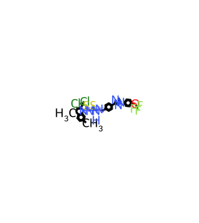 Cc1ccc2c(c1)N1C(=CC2C)C(Cl)(Cl)S/C1=N\C(=S)N/N=C/c1ccc(-c2ncn(-c3ccc(OC(F)(F)F)cc3)n2)cc1